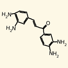 Nc1ccc(C=CC(=O)c2ccc(N)c(N)c2)cc1N